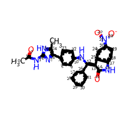 CC(=O)Nc1nc(-c2ccc(NC(=C3C(=O)Nc4ccc([N+](=O)[O-])cc43)c3ccccc3)cc2)c(C)[nH]1